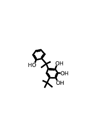 CC(C)(C)c1cc(C(C)(C)c2ccccc2O)c(O)c(O)c1O